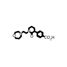 O=C(O)c1ccc(C2CCCN(CCN3CCCOCC3)C2=O)cc1